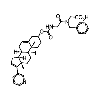 C[C@]12CC[C@H](OC(=O)NCC(=O)N(CC(=O)O)Cc3ccccc3)CC1=CC[C@@H]1[C@@H]2CC[C@]2(C)C(c3cccnc3)=CC[C@@H]12